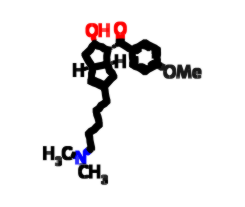 COc1ccc(C(=O)[C@@H]2[C@H]3CC(CCCCCN(C)C)=C[C@H]3C[C@H]2O)cc1